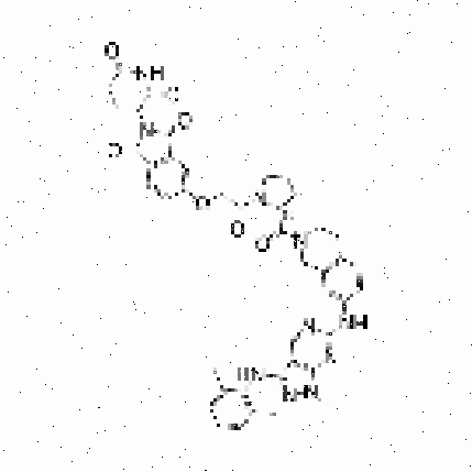 Cc1cccc(C)c1Nc1nn(C)c2nc(Nc3ccc4c(c3)CN(C(=O)[C@@H]3CCCN3C(=O)COc3ccc5c(c3)C(=O)N(C3CCC(=O)NC3=O)C5=O)CC4)ncc12